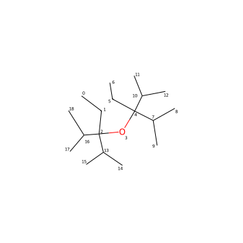 CCC(OC(CC)(C(C)C)C(C)C)(C(C)C)C(C)C